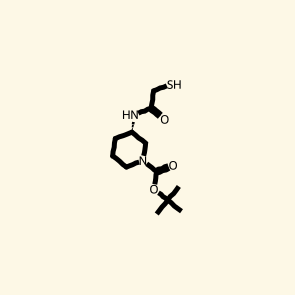 CC(C)(C)OC(=O)N1CCC[C@H](NC(=O)CS)C1